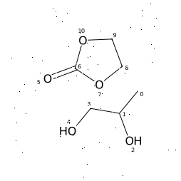 CC(O)CO.O=C1OCCO1